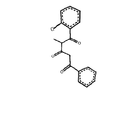 CC(C(=O)CC(=O)c1ccccc1)C(=O)c1ccccc1Cl